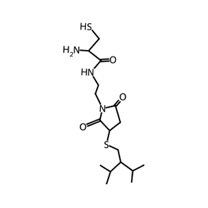 CC(C)C(CSC1CC(=O)N(CCNC(=O)C(N)CS)C1=O)C(C)C